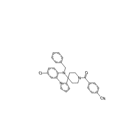 N#Cc1ccc(C(=O)N2CCC3(CC2)c2cccn2-c2cc(Cl)ccc2N3Cc2ccccc2)cc1